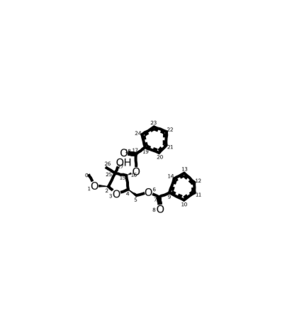 CO[C@@H]1O[C@H](COC(=O)c2ccccc2)[C@@H](OC(=O)c2ccccc2)C1(C)O